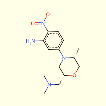 C[C@@H]1CO[C@H](CN(C)C)CN1c1ccc([N+](=O)[O-])c(N)c1